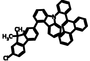 CC1(C)c2cc(Cl)ccc2-c2ccc(-c3cccc4c3c3ccccc3n4-c3ccccc3-c3cc4ccccc4c4ccccc34)cc21